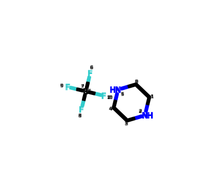 C1CNCCN1.F[B-](F)(F)F